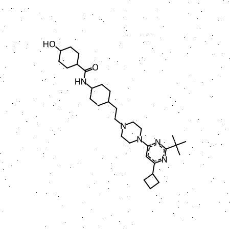 CC(C)(C)c1nc(C2CCC2)cc(N2CCN(CCC3CCC(NC(=O)C4CCC(O)CC4)CC3)CC2)n1